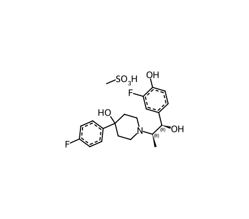 CS(=O)(=O)O.C[C@H]([C@H](O)c1ccc(O)c(F)c1)N1CCC(O)(c2ccc(F)cc2)CC1